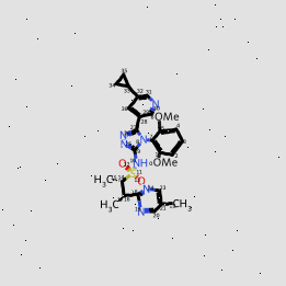 COc1cccc(OC)c1-n1c(NS(=O)(=O)[C@@H](C)[C@H](C)c2ncc(C)cn2)nnc1-c1cncc(C2CC2)c1